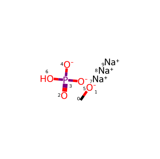 C[O-].O=P([O-])([O-])O.[Na+].[Na+].[Na+]